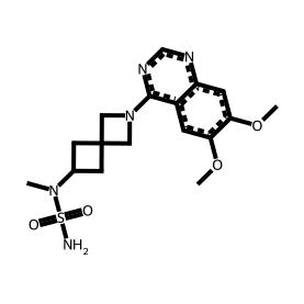 COc1cc2ncnc(N3CC4(CC(N(C)S(N)(=O)=O)C4)C3)c2cc1OC